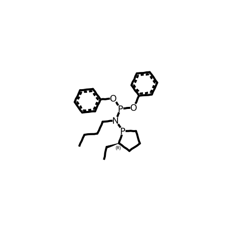 CCCCN(P(Oc1ccccc1)Oc1ccccc1)P1CCC[C@H]1CC